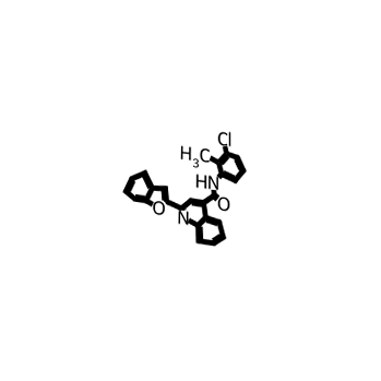 Cc1c(Cl)cccc1NC(=O)c1cc(-c2cc3ccccc3o2)nc2ccccc12